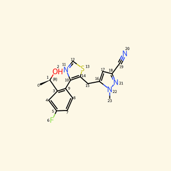 C[C@@H](O)c1cc(F)ccc1-c1ncsc1Cc1cc(C#N)nn1C